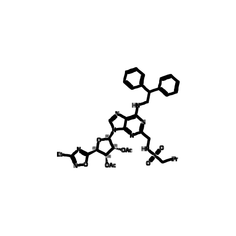 CCc1noc([C@H]2O[C@@H](n3cnc4c(NCC(c5ccccc5)c5ccccc5)nc(CNS(=O)(=O)CC(C)C)nc43)[C@H](OC(C)=O)[C@@H]2OC(C)=O)n1